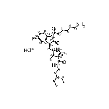 CCN(CC)CCNC(=O)c1c(C)[nH]c(C=C2C(=O)N(C(=O)OCCCCN)c3ccc(F)cc32)c1C.Cl